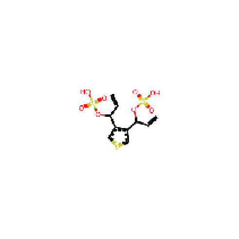 C=CC(OS(=O)(=O)O)c1cscc1C(C=C)OS(=O)(=O)O